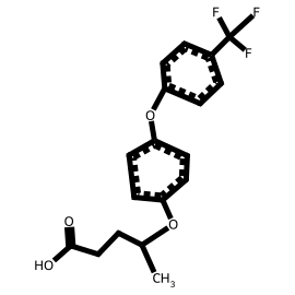 CC(CCC(=O)O)Oc1ccc(Oc2ccc(C(F)(F)F)cc2)cc1